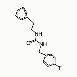 O=C(NCCc1ccccc1)NCc1ccc(F)cc1